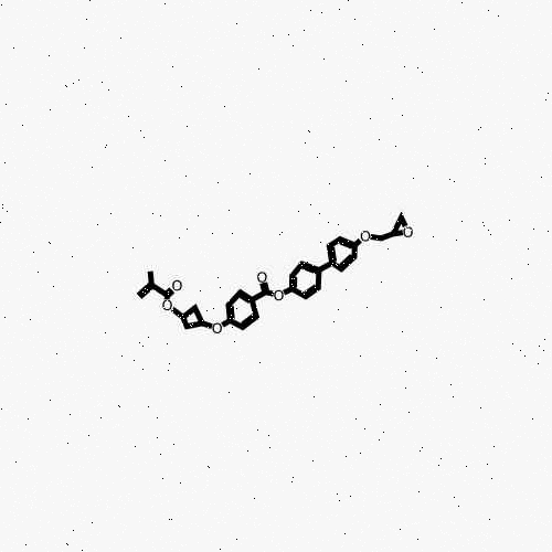 C=C(C)C(=O)OC1CC(Oc2ccc(C(=O)Oc3ccc(-c4ccc(OCC5CO5)cc4)cc3)cc2)C1